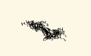 C=C(C)C(=O)Oc1c(C)cc(Oc2c(C)cc(S(=O)(=O)c3cc(C)c(Oc4cc(C)c(OC(=O)C(=C)C)c(C)c4)c(C)c3)cc2C)cc1C